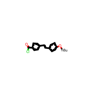 CCCCOc1ccc(/C=C/c2ccc(C(=O)Cl)cc2)cc1